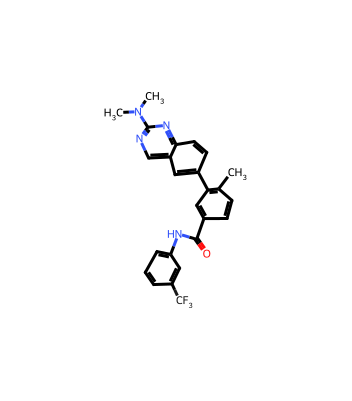 Cc1ccc(C(=O)Nc2cccc(C(F)(F)F)c2)cc1-c1ccc2nc(N(C)C)ncc2c1